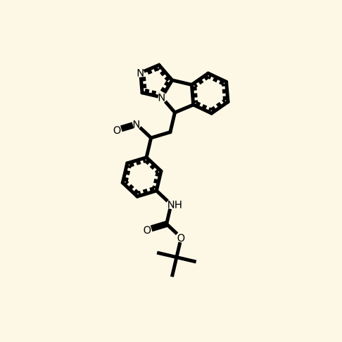 CC(C)(C)OC(=O)Nc1cccc(C(CC2c3ccccc3-c3cncn32)N=O)c1